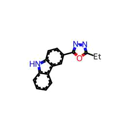 CCc1nnc(-c2ccc3[nH]c4ccccc4c3c2)o1